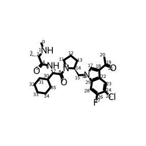 CN[C@@H](C)C(=O)N[C@H](C(=O)N1CCC[C@H]1Cn1cc(C(C)=O)c2cc(Cl)c(F)cc21)C1CCCCC1